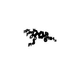 CCCC(F)n1ncc(-c2ccc(S(N)(=O)=O)cc2)c(OCCC(C)C)c1=O